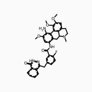 COc1cc(NC(=O)c2cc(Cc3n[nH]c(=O)c4ccccc34)ccc2F)c2c(c1N)-c1c(OC)c(OC)cc3c1C(C2)N(C)CC3